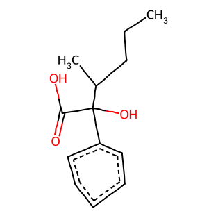 CCCC(C)C(O)(C(=O)O)c1ccccc1